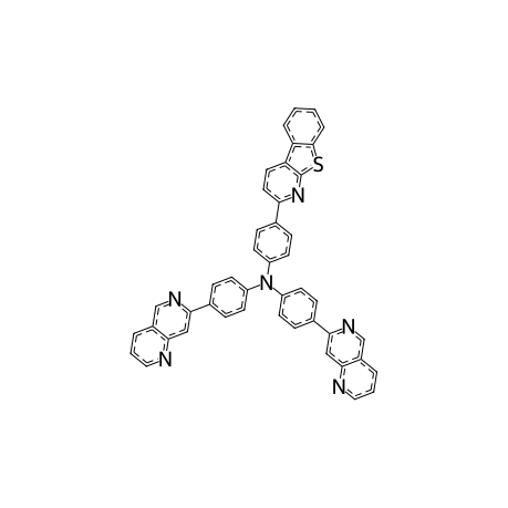 c1cnc2cc(-c3ccc(N(c4ccc(-c5cc6ncccc6cn5)cc4)c4ccc(-c5ccc6c(n5)sc5ccccc56)cc4)cc3)ncc2c1